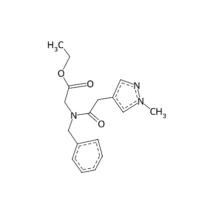 CCOC(=O)CN(Cc1ccccc1)C(=O)Cc1cnn(C)c1